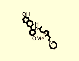 COc1ccc(C2CCc3cc(O)ccc3C2)c(NC(C)Cc2ccc(CCN3CCCCCC3)s2)c1